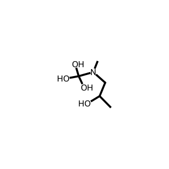 CC(O)CN(C)C(O)(O)O